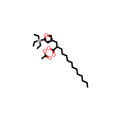 CCCCCCCCCCCCC(Cc1coc([Si](CC)(CC)CC)c1)C(=O)OOC(C)=O